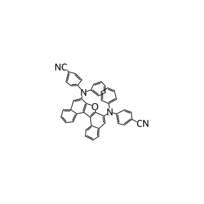 N#Cc1ccc(N(c2ccccc2)c2cc3ccccc3c3c2oc2c(N(c4ccccc4)c4ccc(C#N)cc4)cc4ccccc4c23)cc1